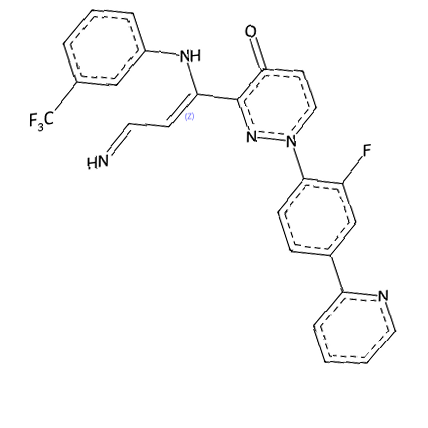 N=C/C=C(\Nc1cccc(C(F)(F)F)c1)c1nn(-c2ccc(-c3ccccn3)cc2F)ccc1=O